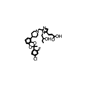 CCC(O)Cn1c(/C=C/C(=O)O)cnc1CN1CCC(c2cccc3c2OC(C)(c2ccc(Cl)cc2F)O3)CC1